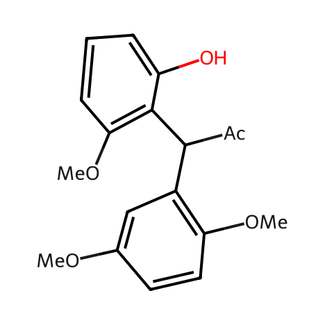 COc1ccc(OC)c(C(C(C)=O)c2c(O)cccc2OC)c1